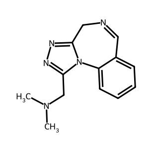 CN(C)Cc1nnc2n1-c1ccccc1C=NC2